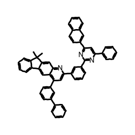 CC1(C)c2ccccc2-c2cc3c(-c4cccc(-c5ccccc5)c4)cc(-c4cccc(-c5nc(-c6ccccc6)cc(-c6ccc7ccccc7c6)n5)c4)nc3cc21